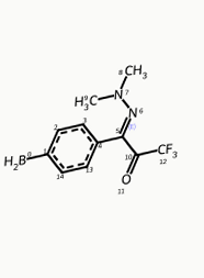 Bc1ccc(/C(=N\N(C)C)C(=O)C(F)(F)F)cc1